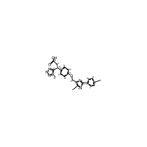 Cc1ccc(-c2nc(C)c(COc3ccc([C@H](CC(=O)O)c4nnnn4C)cc3)s2)cc1